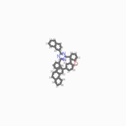 c1ccc(-c2nc(-c3ccc4ccccc4c3)nc(-c3cccc4oc5ccc(-c6ccc7ccc8ccccc8c7c6)cc5c34)n2)cc1